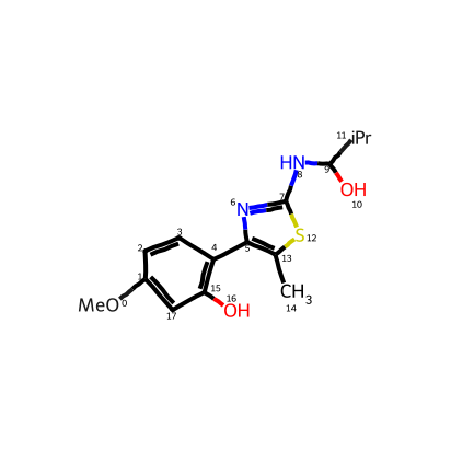 COc1ccc(-c2nc(NC(O)C(C)C)sc2C)c(O)c1